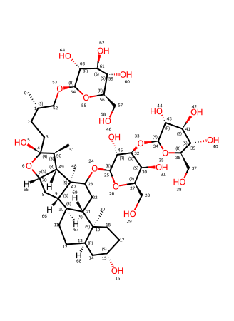 C[C@@H](CC[C@@]1(O)O[C@H]2C[C@H]3[C@@H]4CC[C@@H]5C[C@@H](O)CC[C@]5(C)[C@H]4CC(O[C@@H]4O[C@H](CO)[C@H](O)[C@H](O[C@@H]5O[C@H](CO)[C@@H](O)[C@H](O)[C@H]5O)[C@H]4O)[C@]3(C)[C@H]2[C@@H]1C)CO[C@@H]1O[C@H](CO)[C@@H](O)[C@H](O)[C@H]1O